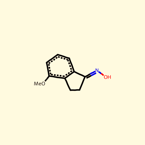 COc1cccc2c1CCC2=NO